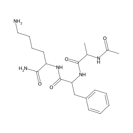 CC(=O)NC(C)C(=O)NC(Cc1ccccc1)C(=O)NC(CCCCN)C(N)=O